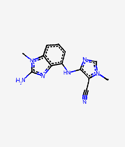 Cn1cnc(Nc2cccc3c2nc(N)n3C)c1C#N